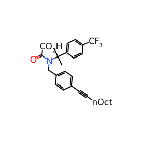 CCCCCCCCC#Cc1ccc(CN(C(=O)C(=O)O)C(C)(C)c2ccc(C(F)(F)F)cc2)cc1